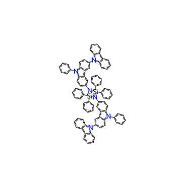 c1ccc(-n2c3ccc(N4[Si](c5ccccc5)(c5ccccc5)N(c5ccc6c(c5)c5cc(-n7c8ccccc8c8ccccc87)ccc5n6-c5ccccc5)[Si]4(c4ccccc4)c4ccccc4)cc3c3cc(-n4c5ccccc5c5ccccc54)ccc32)cc1